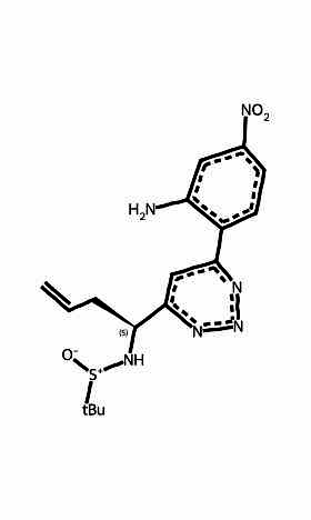 C=CC[C@H](N[S+]([O-])C(C)(C)C)c1cc(-c2ccc([N+](=O)[O-])cc2N)nnn1